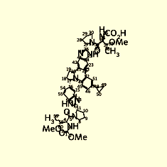 COC(=O)N[C@H](C(=O)N1CCC[C@H]1c1nc2cc([C@@H]3CC[C@@H](c4ccc5[nH]c([C@@H]6CCCN6C(=O)[C@@H](NC(=O)O)[C@@H](C)OC)nc5c4)N3c3ccc(C4CC4)cc3F)ccc2[nH]1)[C@@H](C)OC